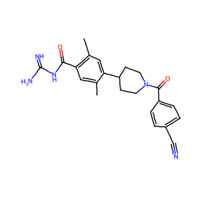 Cc1cc(C2CCN(C(=O)c3ccc(C#N)cc3)CC2)c(C)cc1C(=O)NC(=N)N